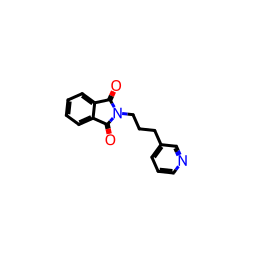 O=C1c2ccccc2C(=O)N1CCCc1cccnc1